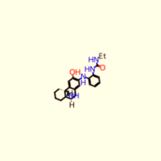 CCNC(=O)Nc1ccccc1Nc1cc2c(cc1O)[C@]13CCCC[C@@H]1[C@H](C2)NCC3